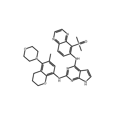 Cc1cc(Nc2nc(Nc3ccc4nccnc4c3P(C)(C)=O)c3cc[nH]c3n2)c2c(c1N1CCOCC1)CCCO2